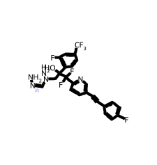 N/N=C\N(N)CC(O)(c1ccc(C(F)(F)F)cc1F)C(F)(F)c1ccc(C#Cc2ccc(F)cc2)cn1